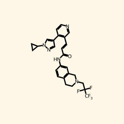 O=C(C=Cc1cnccc1-c1cnn(C2CC2)c1)Nc1ccc2c(c1)CN(CC(F)(F)C(F)(F)F)CC2